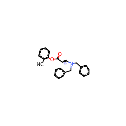 N#Cc1ccccc1OC(=O)/C=C/N(Cc1ccccc1)Cc1ccccc1